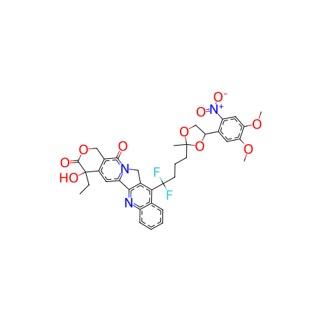 CCC1(O)C(=O)OCc2c1cc1n(c2=O)Cc2c-1nc1ccccc1c2C(F)(F)CCCC1(C)OCC(c2cc(OC)c(OC)cc2[N+](=O)[O-])O1